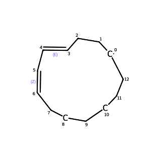 [CH]1CC/C=C/C=C\CCCCCC1